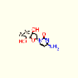 CC(=O)C(O)[C@H]1O[C@@H](n2ccc(N)nc2=O)C[C@@]1(O)C(C)=O